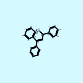 [Sn][CH](C=C(c1ccccc1)c1ccccc1)c1ccccc1